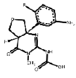 CN1C(=O)[C@@H]2COC[C@]2(c2cc(N)ccc2F)N=C1NC(=O)O